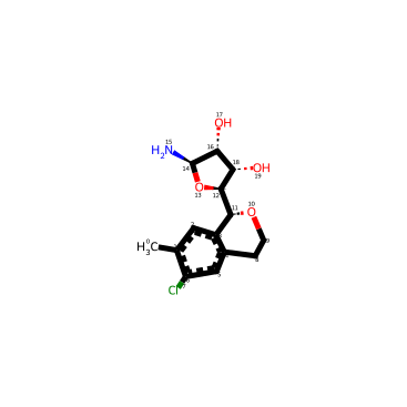 Cc1cc2c(cc1Cl)CCO[C@H]2[C@H]1O[C@@H](N)[C@H](O)[C@@H]1O